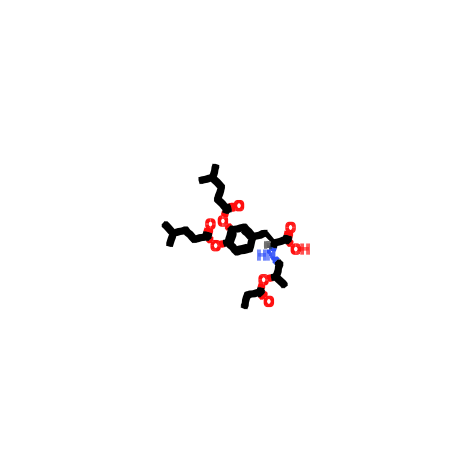 CCC(=O)OC(C)CN[C@@H](Cc1ccc(OC(=O)CCC(C)C)c(OC(=O)CCC(C)C)c1)C(=O)O